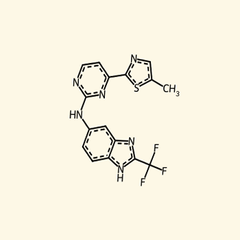 Cc1cnc(-c2ccnc(Nc3ccc4[nH]c(C(F)(F)F)nc4c3)n2)s1